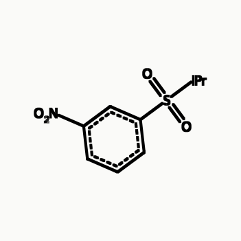 CC(C)S(=O)(=O)c1cccc([N+](=O)[O-])c1